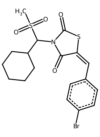 CS(=O)(=O)C(C1CCCCC1)N1C(=O)SC(=Cc2ccc(Br)cc2)C1=O